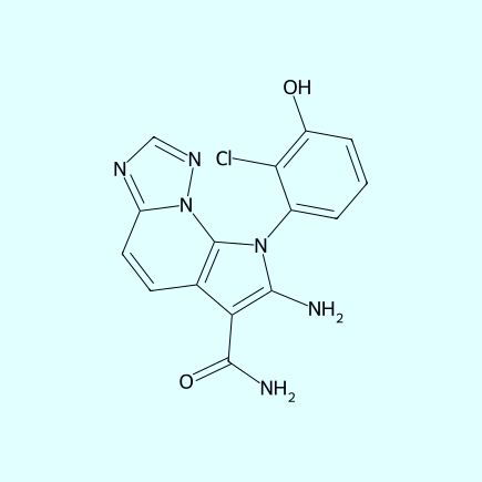 NC(=O)c1c(N)n(-c2cccc(O)c2Cl)c2c1ccc1ncnn12